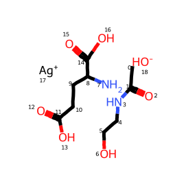 CC(=O)NCCO.NC(CCC(=O)O)C(=O)O.[Ag+].[OH-]